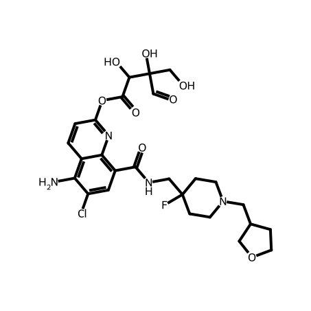 Nc1c(Cl)cc(C(=O)NCC2(F)CCN(CC3CCOC3)CC2)c2nc(OC(=O)C(O)C(O)(C=O)CO)ccc12